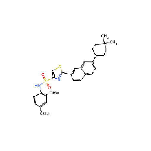 COc1cc(C(=O)O)ccc1NS(=O)(=O)c1csc(-c2ccc3ccc(C4CCC(C)(C)CC4)cc3c2)n1